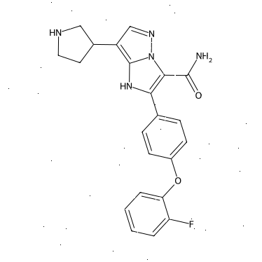 NC(=O)c1c(-c2ccc(Oc3ccccc3F)cc2)[nH]c2c(C3CCNC3)cnn12